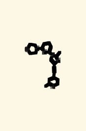 Cc1cc(C#Cc2cn(-c3cccc(N4CCOCC4)n3)c(C)n2)ccn1